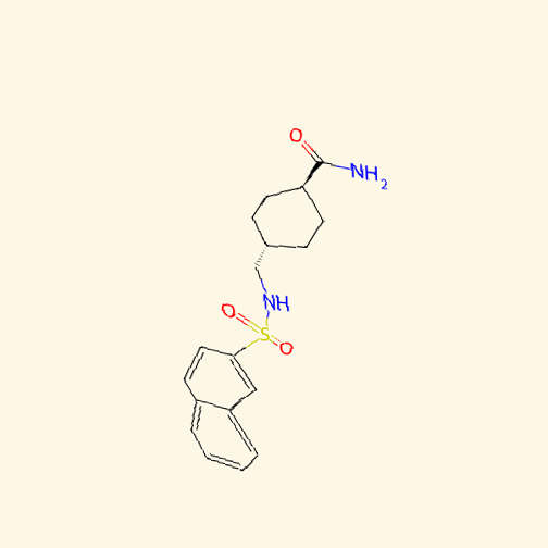 NC(=O)[C@H]1CC[C@H](CNS(=O)(=O)c2ccc3ccccc3c2)CC1